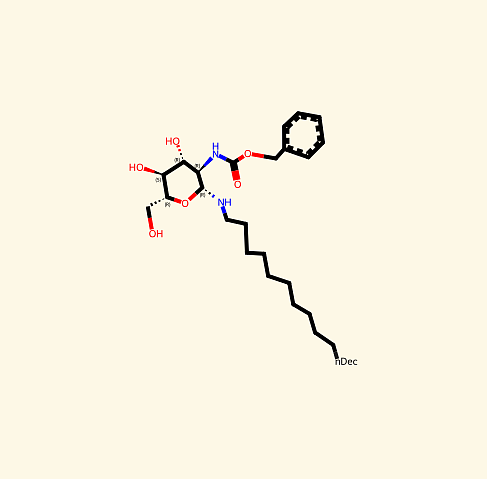 CCCCCCCCCCCCCCCCCCCCN[C@@H]1O[C@H](CO)[C@@H](O)[C@H](O)[C@H]1NC(=O)OCc1ccccc1